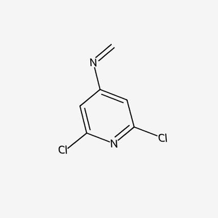 C=Nc1cc(Cl)nc(Cl)c1